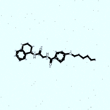 CCCCCCOc1ccc(C(=O)NCC(=O)NC2CCCc3ccccc32)cc1